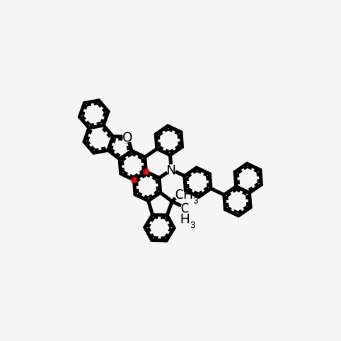 CC1(C)c2ccccc2-c2cccc(N(c3ccc(-c4cccc5ccccc45)cc3)c3ccccc3-c3cccc4c3oc3c5ccccc5ccc43)c21